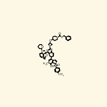 Cc1ccc(S(=O)(=O)n2ccc3c(-c4ccc5nc(N6CC(OC7CCN(C(=O)OCc8ccccc8)CC7)C6)nc([C@@](COC6CCCCO6)(OC6CC6)c6ccccc6)c5c4)cn(C)c(=O)c32)cc1